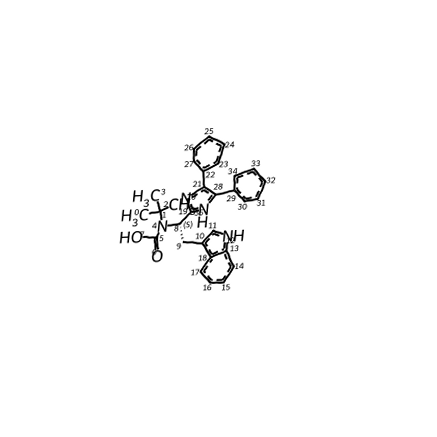 CC(C)(C)N(C(=O)O)[C@@H](Cc1c[nH]c2ccccc12)c1nc(-c2ccccc2)c(-c2ccccc2)[nH]1